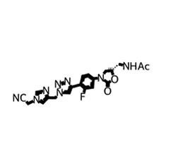 CC(=O)NC[C@H]1CN(c2ccc(-c3cn(Cc4cn(CC#N)cn4)nn3)c(F)c2)C(=O)O1